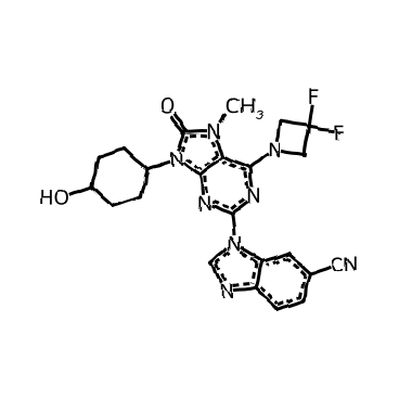 Cn1c(=O)n(C2CCC(O)CC2)c2nc(-n3cnc4ccc(C#N)cc43)nc(N3CC(F)(F)C3)c21